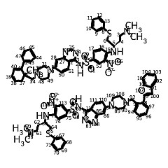 CN(C)CC[C@H](CSc1ccccc1)Nc1ccc(S(=O)(=O)Nc2ncnc3cc(N4CCN(CC5(C)CC=CC=C5c5ccccc5)CC4)ccc23)cc1[N+](=O)[O-].CN(C)CC[C@H](CSc1ccccc1)Nc1ccc(S(=O)(=O)Nc2ncnc3cc(N4CCN(Cc5ccccc5-c5cc6ccccc6o5)CC4)ccc23)cc1[N+](=O)[O-]